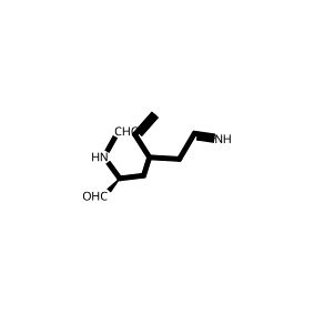 C=CC(CC=N)C[C@@H](C=O)NC=O